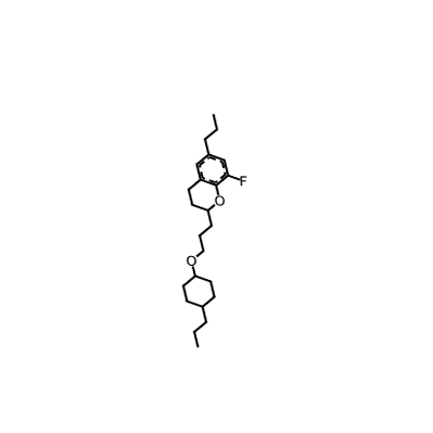 CCCc1cc(F)c2c(c1)CCC(CCCOC1CCC(CCC)CC1)O2